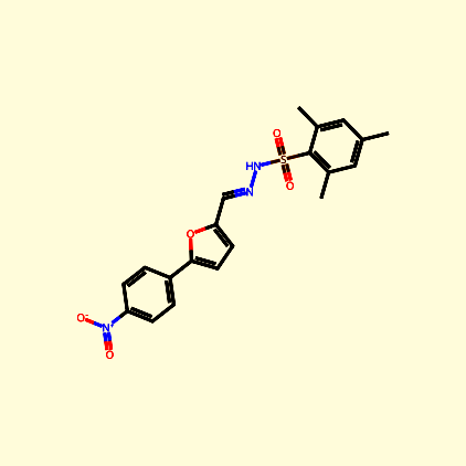 Cc1cc(C)c(S(=O)(=O)NN=Cc2ccc(-c3ccc([N+](=O)[O-])cc3)o2)c(C)c1